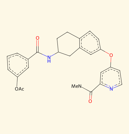 CNC(=O)c1cc(Oc2ccc3c(c2)CC(NC(=O)c2cccc(OC(C)=O)c2)CC3)ccn1